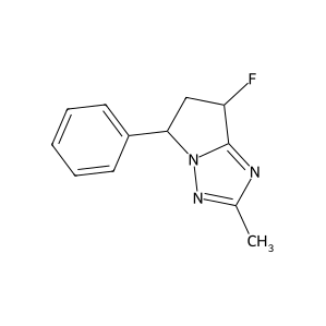 Cc1nc2n(n1)C(c1ccccc1)CC2F